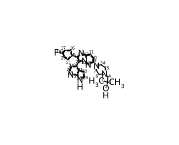 CC(C)(O)CN1CCN(c2ccc3nc(-c4ccc(F)cc4)c(-c4ccnc5[nH]ccc45)n3n2)CC1